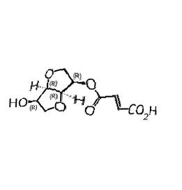 O=C(O)C=CC(=O)O[C@@H]1CO[C@H]2[C@@H]1OC[C@H]2O